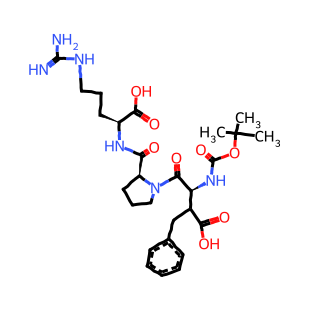 CC(C)(C)OC(=O)N[C@H](C(=O)N1CCC[C@H]1C(=O)N[C@@H](CCCNC(=N)N)C(=O)O)C(Cc1ccccc1)C(=O)O